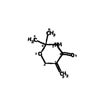 C=C1COC(C)(C)NC1=O